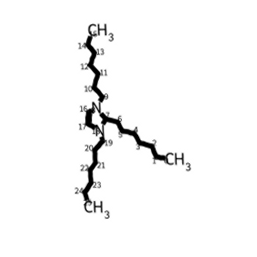 CCCCCCCC1N(CCCCCCC)C=CN1CCCCCCC